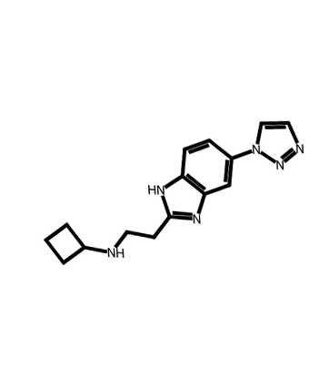 c1cn(-c2ccc3[nH]c(CCNC4CCC4)nc3c2)nn1